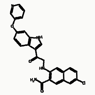 NC(=O)c1cc2cc(Cl)ccc2cc1NCC(=O)c1c[nH]c2cc(Oc3cccnc3)ccc12